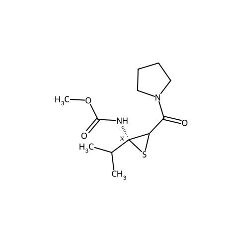 COC(=O)N[C@@]1(C(C)C)SC1C(=O)N1CCCC1